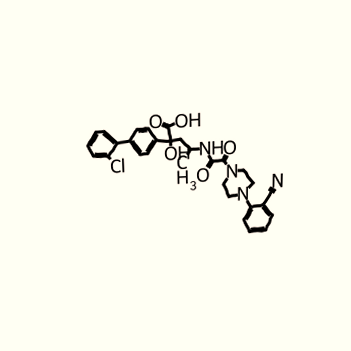 CC(CC(O)(C(=O)O)c1ccc(-c2ccccc2Cl)cc1)NC(=O)C(=O)N1CCN(c2ccccc2C#N)CC1